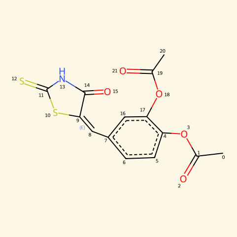 CC(=O)Oc1ccc(/C=C2/SC(=S)NC2=O)cc1OC(C)=O